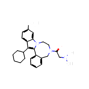 CN(C)CC(=O)N1CCn2c(c(C3CCCCC3)c3ccc(C(=O)O)cc32)-c2ccccc2C1